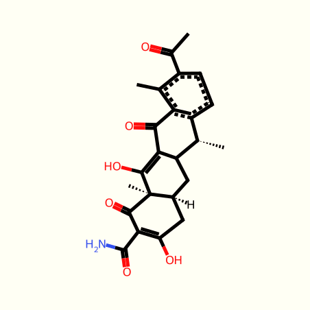 CC(=O)c1ccc2c(c1C)C(=O)C1=C(O)[C@]3(C)C(=O)C(C(N)=O)=C(O)C[C@@H]3CC1[C@H]2C